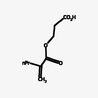 C=C(CCC)C(=O)OCCC(=O)O